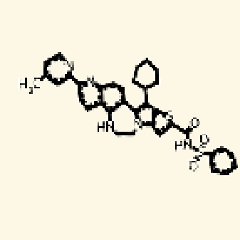 Cc1ccnc(-c2ccc3c4c(ccc3n2)-c2c(C3CCCCC3)c3sc(C(=O)NS(=O)(=O)c5ccccc5)cc3n2CCN4)c1